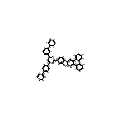 c1ccc(-c2cccc(-c3cc(-c4ccc(-c5ccncc5)cc4)nc(-c4ccc5c(c4)sc4cc6c7ccccc7c7ccccc7c6cc45)n3)c2)cc1